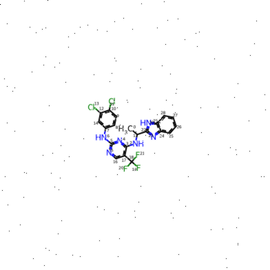 CC(Nc1nc(Nc2ccc(Cl)c(Cl)c2)ncc1C(F)(F)F)c1nc2ccccc2[nH]1